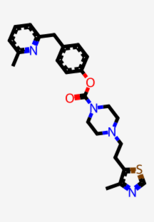 Cc1cccc(Cc2ccc(OC(=O)N3CCN(CCc4scnc4C)CC3)cc2)n1